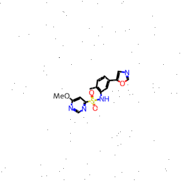 COc1cc(S(=O)(=O)Nc2cc(-c3cnco3)ccc2C)ncn1